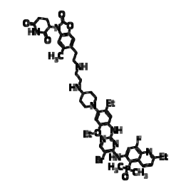 CCOc1cc(N2CCC(NCCNCCc3cc4oc(=O)n(C5CCC(=O)NC5=O)c4cc3C)CC2)c(CC)cc1Nc1ncc(Br)c(Nc2cc(F)c3nc(CC)ccc3c2P(C)(C)=O)n1